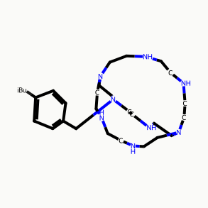 CCC(C)c1ccc(CN2CCNCCN3CCNCCNCCN(CCNCCNCC3)CC2)cc1